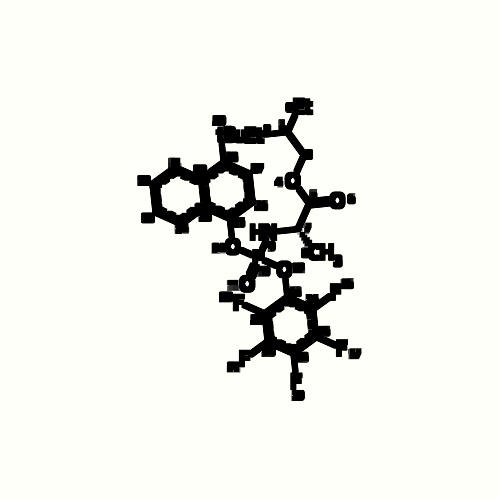 CCC(CC)COC(=O)[C@H](C)NP(=O)(Oc1c(F)c(F)c(F)c(F)c1F)Oc1ccc(C(C)(C)C)c2ccccc12